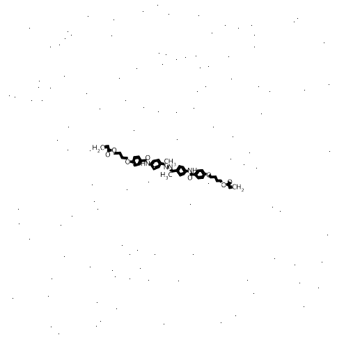 C=CC(=O)OCCCCOc1ccc(C(=O)Nc2ccc(/C(C)=N/N=C(\C)c3ccc(NC(=O)c4ccc(OCCCCOC(=O)C=C)cc4)cc3)cc2)cc1